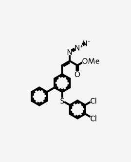 COC(=O)/C(=C\c1ccc(Sc2ccc(Cl)c(Cl)c2)c(-c2ccccc2)c1)N=[N+]=[N-]